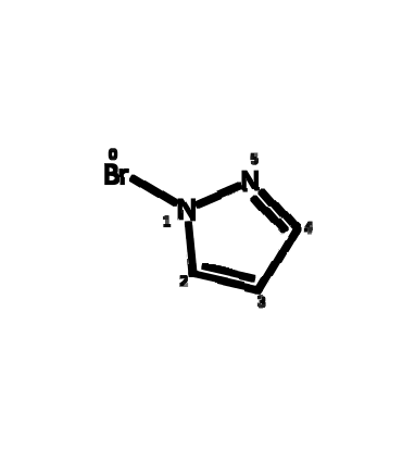 Brn1cccn1